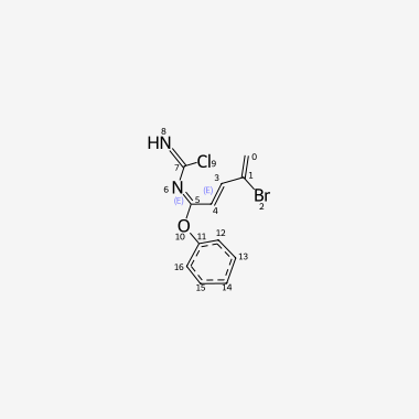 C=C(Br)/C=C/C(=N\C(=N)Cl)Oc1ccccc1